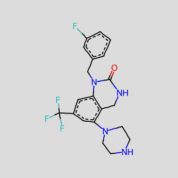 O=C1NCc2c(N3CCNCC3)cc(C(F)(F)F)cc2N1Cc1cccc(F)c1